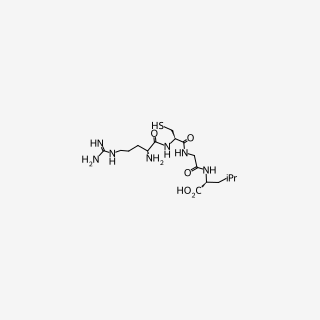 CC(C)C[C@H](NC(=O)CNC(=O)[C@H](CS)NC(=O)[C@@H](N)CCCNC(=N)N)C(=O)O